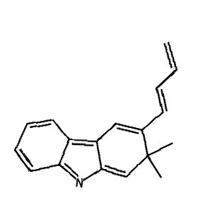 C=CC=CC1=CC2=c3ccccc3=NC2=CC1(C)C